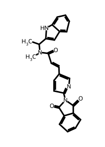 CC(c1cc2ccccc2[nH]1)N(C)C(=O)C=Cc1ccc(N2C(=O)c3ccccc3C2=O)nc1